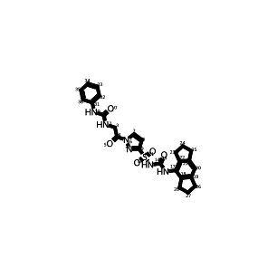 O=C(NCC(=O)n1ccc(S(=O)(=O)NC(=O)Nc2c3c(cc4c2CCC4)CCC3)n1)Nc1ccccc1